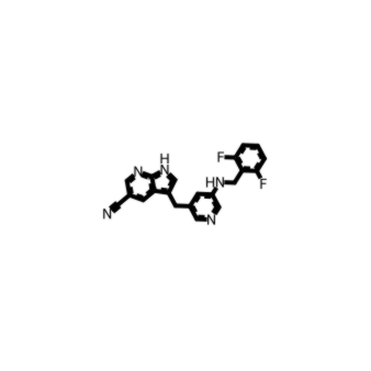 N#Cc1cnc2[nH]cc(Cc3cncc(NCc4c(F)cccc4F)c3)c2c1